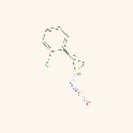 O=C=N[C@H]1C[C@@H]1c1ccccc1Cl